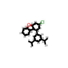 CC(C)c1cc(-c2cc(Cl)cc3oc4ccccc4c23)cc(C(C)C)c1